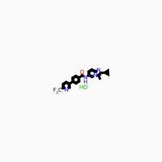 Cc1c(C2CC2)nc2ccc(NC(=O)c3ccc(-c4ccc(C(F)(F)F)nc4)cc3)cn12.Cl